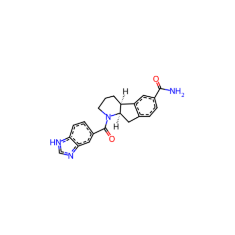 NC(=O)c1ccc2c(c1)[C@@H]1CCCN(C(=O)c3ccc4[nH]cnc4c3)[C@@H]1C2